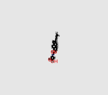 COc1cc(/C=C/C(=O)OC2CCC3(C)C(CCC4C5CCC(CCCCC(C)C)C5(C)CCC43)C2)ccc1O